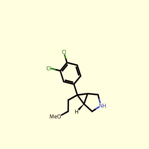 COCCC1(c2ccc(Cl)c(Cl)c2)C2CNC[C@@H]21